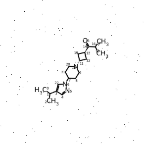 CC(C)c1cnn(C2CCN([C@H]3C[C@H](C(=O)C(C)C)C3)CC2)c1